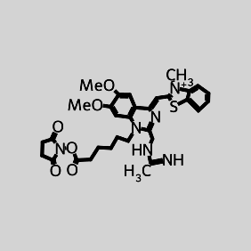 COc1cc2c(cc1OC)N(CCCCCC(=O)ON1C(=O)CCC1=O)C(CNC(C)=N)=NC2=Cc1sc2ccccc2[n+]1C